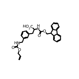 C=CCOC(=O)NCc1cccc(CC(NC(=O)OCC2c3ccccc3-c3ccccc32)C(=O)O)c1